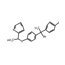 CC(C)C(C)(c1ccc(I)cc1)c1ccc(OC(C(=O)O)c2ccccn2)cc1